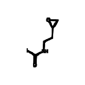 O=C(I)NCCC1CO1